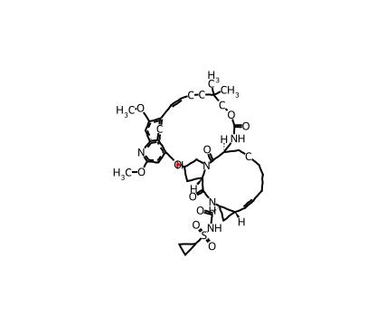 COc1cc2c3cc(c(OC)cc3n1)/C=C/CCC(C)(C)COC(=O)N[C@H]1CCCCC/C=C\[C@@H]3C[C@@]3(C(=O)NS(=O)(=O)C3CC3)NC(=O)[C@@H]3C[C@H](CN3C1=O)O2